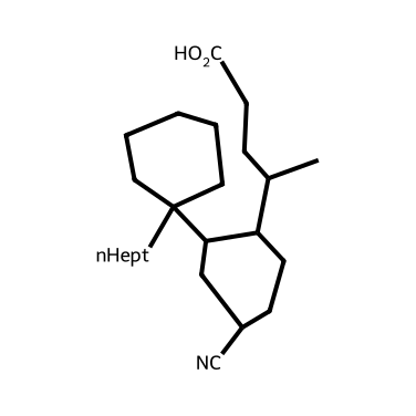 CCCCCCCC1(C2CC(C#N)CCC2C(C)CCC(=O)O)CCCCC1